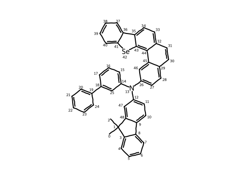 CC1(C)c2ccccc2-c2ccc(N(c3cccc(-c4ccccc4)c3)c3ccc4ccc5ccc6c7ccccc7[se]c6c5c4c3)cc21